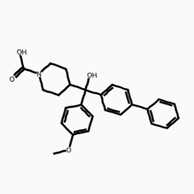 COc1ccc(C(O)(c2ccc(-c3ccccc3)cc2)C2CCN(C(=O)O)CC2)cc1